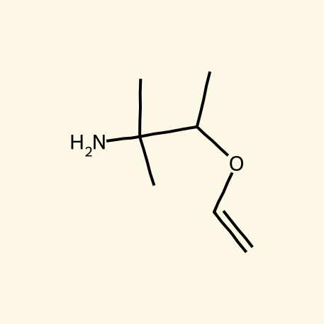 C=COC(C)C(C)(C)N